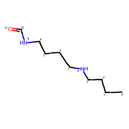 CCCCNCCCCN[C]=O